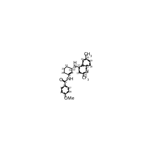 COc1ccc(C(=O)NC2=C[C@@H](Nc3cc(C(F)(F)F)nc4ccc(C)cc34)CCC2)cc1